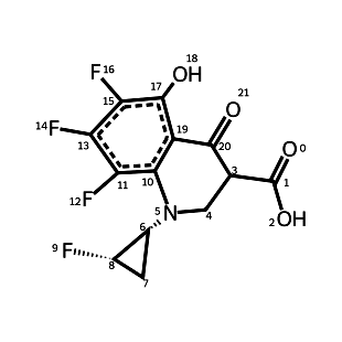 O=C(O)C1CN([C@@H]2C[C@@H]2F)c2c(F)c(F)c(F)c(O)c2C1=O